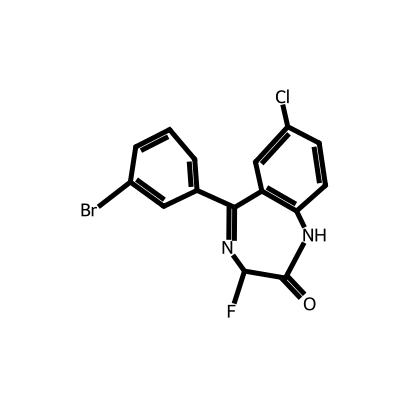 O=C1Nc2ccc(Cl)cc2C(c2cccc(Br)c2)=NC1F